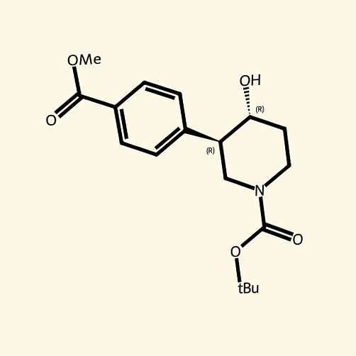 COC(=O)c1ccc([C@@H]2CN(C(=O)OC(C)(C)C)CC[C@H]2O)cc1